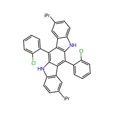 CC(C)c1ccc2[nH]c3c(-c4ccccc4Cl)c4c([nH]c5ccc(C(C)C)cc54)c(-c4ccccc4Cl)c3c2c1